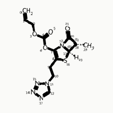 C=CCOC(=O)OC1=C(CCn2cnnn2)S[C@@H]2[C@@H](C)C(=O)N12